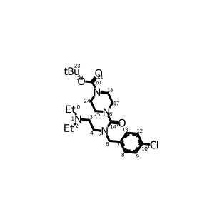 CCN(CC)CCN(Cc1ccc(Cl)cc1)C(=O)N1CCN(C(=O)OC(C)(C)C)CC1